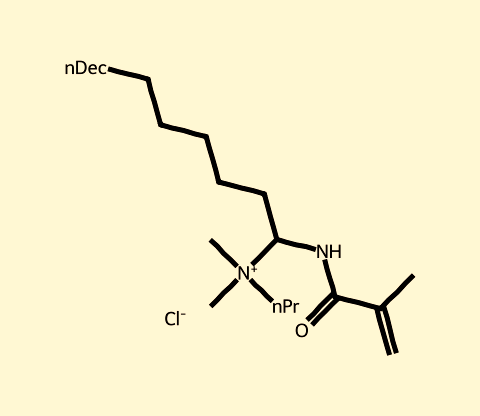 C=C(C)C(=O)NC(CCCCCCCCCCCCCCC)[N+](C)(C)CCC.[Cl-]